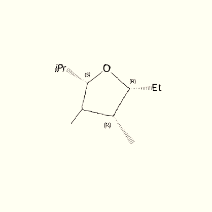 CC[C@H]1O[C@@H](C(C)C)C(C)[C@H]1C